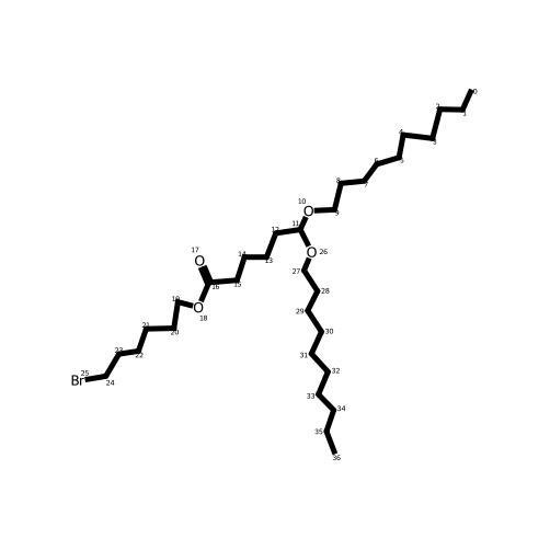 CCCCCCCCCCOC(CCCCC(=O)OCCCCCCBr)OCCCCCCCCCC